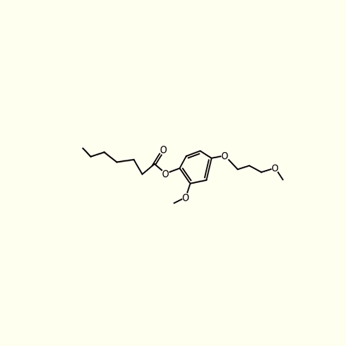 CCCCCCC(=O)Oc1ccc(OCCCOC)cc1OC